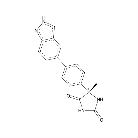 C[C@@]1(c2ccc(-c3ccc4n[nH]cc4c3)cc2)NC(=O)NC1=O